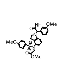 COC(=O)CN(c1cccc2c1CCN2C(C(N)=O)c1cccc(OC)c1)S(=O)(=O)c1ccc(OC)cc1